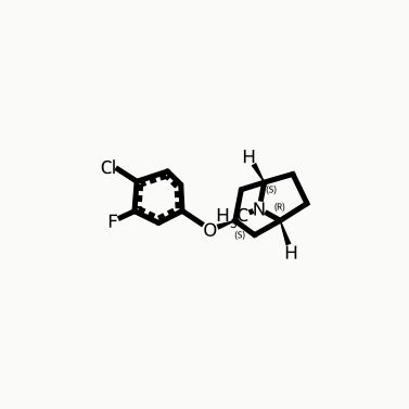 CN1[C@@H]2CC[C@H]1C[C@H](Oc1ccc(Cl)c(F)c1)C2